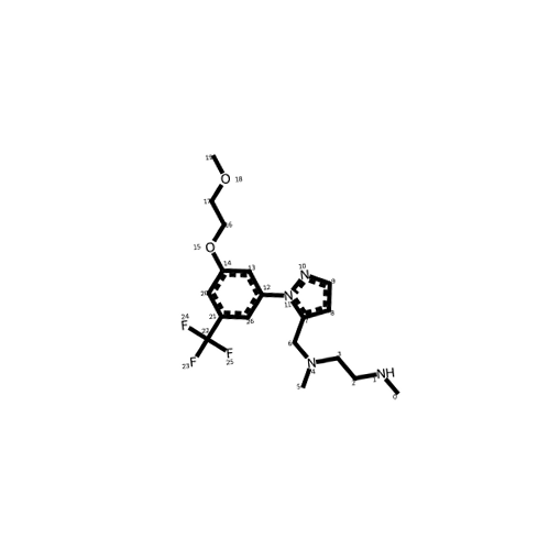 CNCCN(C)Cc1ccnn1-c1cc(OCCOC)cc(C(F)(F)F)c1